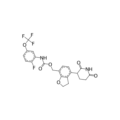 O=C1CCC(c2ccc(COC(=O)Nc3cc(OC(F)(F)F)ccc3F)c3c2CCO3)C(=O)N1